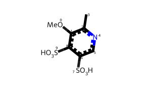 COc1c(C)ncc(S(=O)(=O)O)c1S(=O)(=O)O